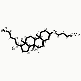 BC12CC=C3CC(OCCCOC)CCC3(C)C1CCC1(C)C([C@H](C)CCCC(C)C)CCC21